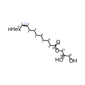 CCCCCC/C=C\CCCCCCCC(=O)OC[C@@H](O)CO